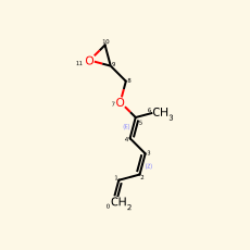 C=C/C=C\C=C(/C)OCC1CO1